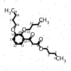 CCCCOC(=O)CC(=O)c1cccc(OCCCC)c1OCCCC